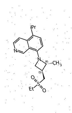 CCS(=O)(=O)C[C@H]1CN(c2ccc(C(C)C)c3ccncc23)[C@@H]1C